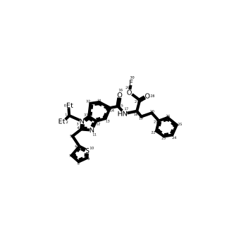 CCC(CC)n1c(Cc2cccs2)nc2cc(C(=O)NC(CCc3ccccc3)C(=O)OF)ccc21